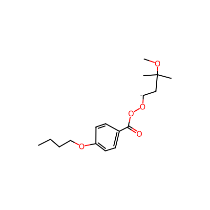 CCCCOc1ccc(C(=O)OO[CH]CC(C)(C)OC)cc1